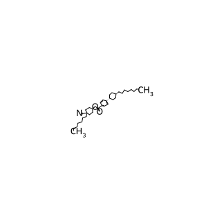 CCCCCCCC[C@H]1CC[C@H](c2ccc(C(=O)OC3CCC(C#N)(CCCCCCC)CC3)cc2)CC1